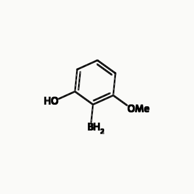 Bc1c(O)cccc1OC